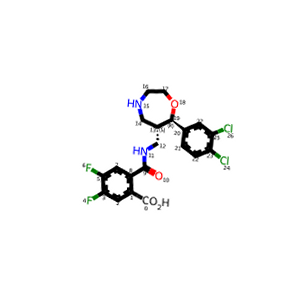 O=C(O)c1cc(F)c(F)cc1C(=O)NC[C@@H]1CNCCO[C@H]1c1ccc(Cl)c(Cl)c1